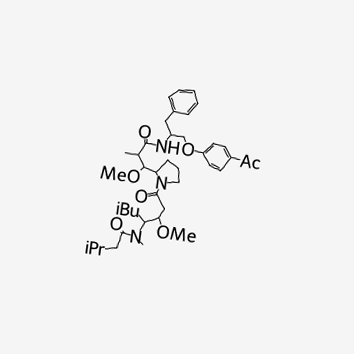 CCC(C)C(C(CC(=O)N1CCCC1C(OC)C(C)C(=O)NC(COc1ccc(C(C)=O)cc1)Cc1ccccc1)OC)N(C)C(=O)CC(C)C